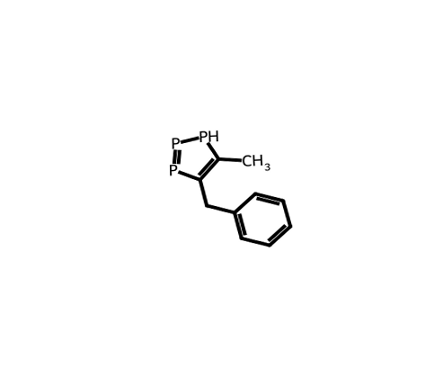 Cc1[pH]ppc1Cc1ccccc1